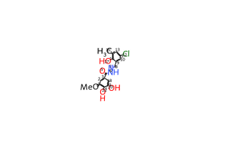 COc1cc(C(=O)N/N=C/c2cc(Cl)cc(C)c2O)cc(O)c1O